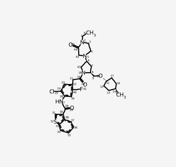 CCN1CCN([C@H]2C[C@@H](CO[C@H]3CC[C@H](C)CC3)N(C(=O)Cc3cc(Cl)c(NC(=O)c4csc5ccccc45)cc3F)C2)CC1=O